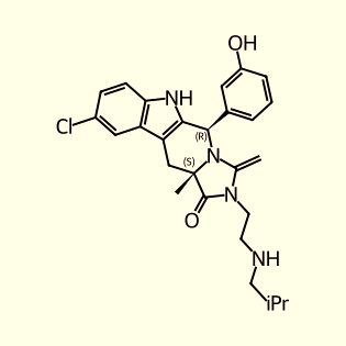 C=C1N(CCNCC(C)C)C(=O)[C@]2(C)Cc3c([nH]c4ccc(Cl)cc34)[C@@H](c3cccc(O)c3)N12